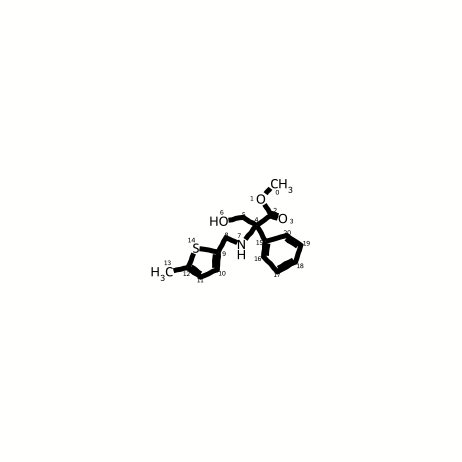 COC(=O)C(CO)(NCc1ccc(C)s1)c1ccccc1